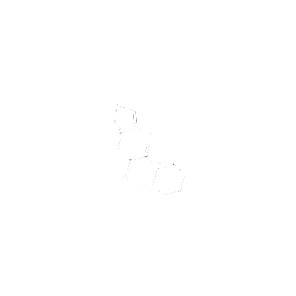 O=C1C(Cc2c[nH]cn2)CCC2CCCCC12